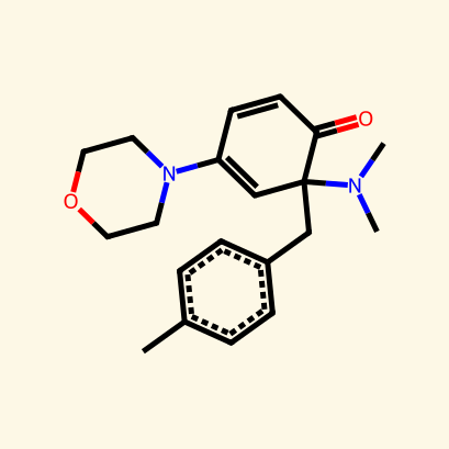 Cc1ccc(CC2(N(C)C)C=C(N3CCOCC3)C=CC2=O)cc1